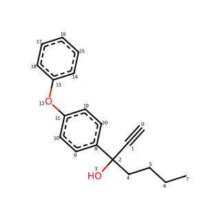 C#CC(O)(CCCC)c1ccc(Oc2ccccc2)cc1